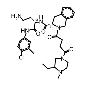 CCC1CN(C(=O)CCC(=O)N2Cc3ccccc3C[C@H]2C(=O)N[C@@H](CCN)C(=O)Nc2ccc(Cl)c(C)c2)CCN1C